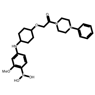 COc1cc(NC2CCC(OCC(=O)N3CCN(c4ccccc4)CC3)CC2)ccc1N(O)O